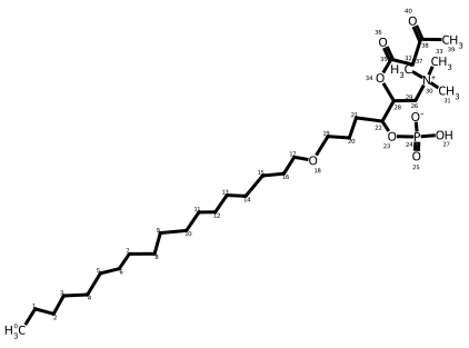 CCCCCCCCCCCCCCCCCCOCCCC(OP(=O)([O-])O)C(C[N+](C)(C)C)OC(=O)CC(C)=O